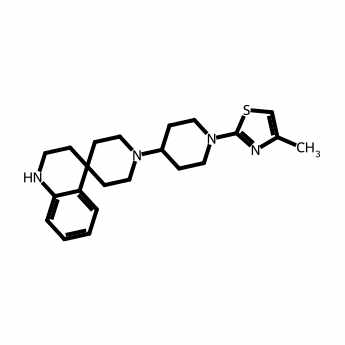 Cc1csc(N2CCC(N3CCC4(CCNc5ccccc54)CC3)CC2)n1